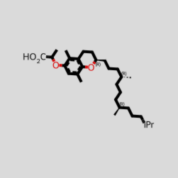 Cc1cc(OC(C)C(=O)O)c(C)c2c1O[C@H](CCC[C@H](C)CCC[C@H](C)CCCC(C)C)CC2